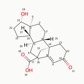 C[C@]12CC[C@H]3[C@@H](CCC4=CC(=O)CC[C@@]43CCC(=O)O)[C@@H]1CC[C@@H]2O